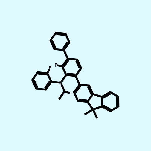 CC(C)N(c1ccccc1F)c1c(-c2ccc3c(c2)-c2ccccc2C3(C)C)ccc(-c2ccccc2)c1F